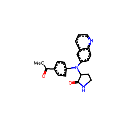 COC(=O)c1ccc(N(c2ccc3ncccc3c2)C2CCNC2=O)cc1